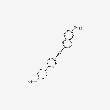 CCCCCCCC1CCC(c2ccc(C#Cc3ccc4cc(OCC)ccc4c3)cc2)CC1